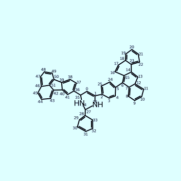 C1=C(c2ccc(-c3c4ccccc4cc4c3ccc3ccccc34)cc2)NC(c2ccccc2)NC1c1ccc2c(c1)-c1cccc3cccc-2c13